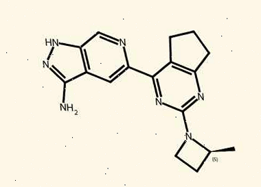 C[C@H]1CCN1c1nc2c(c(-c3cc4c(N)n[nH]c4cn3)n1)CCC2